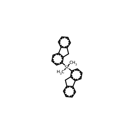 [CH3][Sc]([CH3])([c]1cccc2c1Cc1ccccc1-2)[c]1cccc2c1Cc1ccccc1-2